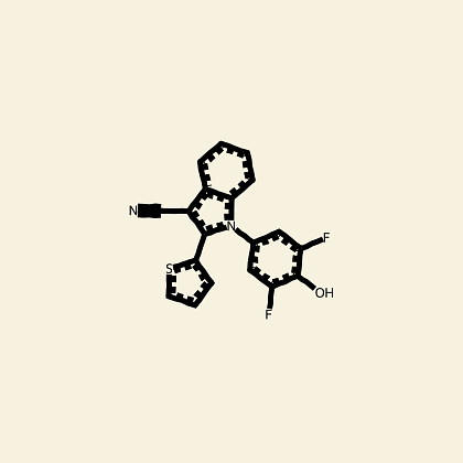 N#Cc1c(-c2cccs2)n(-c2cc(F)c(O)c(F)c2)c2ccccc12